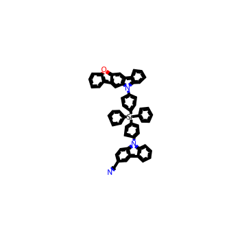 N#Cc1ccc2c(c1)c1ccccc1n2-c1ccc([Si](c2ccccc2)(c2ccccc2)c2ccc(-n3c4ccccc4c4cc5oc6ccccc6c5cc43)cc2)cc1